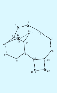 C1CC2SSC3C4CCC(C5SSC15)C3C2SS4